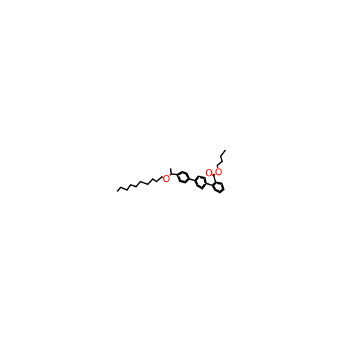 CCCCCCCCCCOC(C)c1ccc(-c2ccc(-c3ccccc3C(=O)OCCCC)cc2)cc1